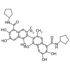 Cc1cc2c(C(=O)NC3CCCC3)c(O)c(O)cc2c(O)c1-c1c(C)cc2c(C(=O)NC3CCCC3)c(O)c(O)cc2c1O